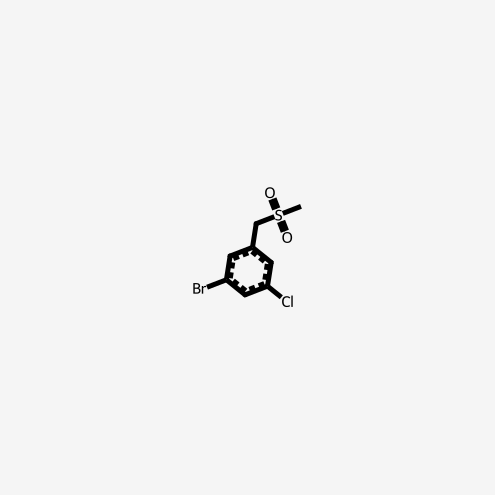 CS(=O)(=O)Cc1cc(Cl)cc(Br)c1